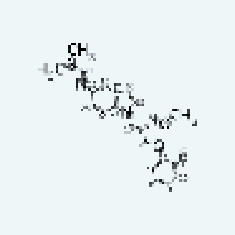 CON=C(COc1ccccc1F)Cn1ccc2cc(N=CN(C)C)ccc21